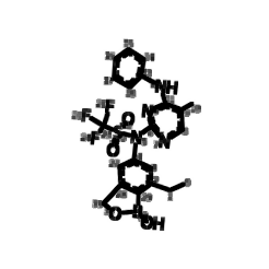 CCc1cc(N(c2ncc(C)c(Nc3ccccc3)n2)S(=O)(=O)C(F)(F)F)cc2c1B(O)OC2